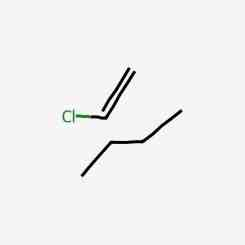 C=CCl.CCCC